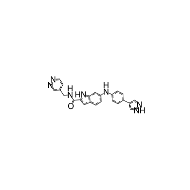 O=C(NCc1ccnnc1)c1cc2ccc(Nc3ccc(-c4cn[nH]c4)cc3)cc2[nH]1